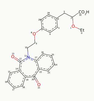 CCOC(Cc1ccc(OCCn2c(=O)c3ccccc3c(=O)c3ccccc32)cc1)C(=O)O